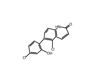 O=c1ccc2c(Cl)c(-c3ccc(Cl)cc3O)ccc2[nH]1